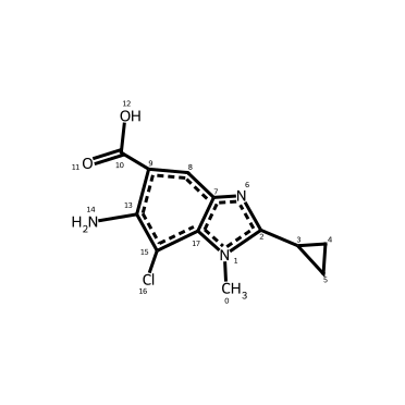 Cn1c(C2CC2)nc2cc(C(=O)O)c(N)c(Cl)c21